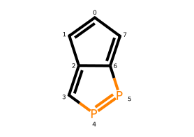 C1=CC2=CP=PC2=C1